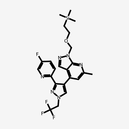 Cc1cc(-c2cn(CC(F)(F)F)nc2-c2ccc(F)cn2)c2cnn(COCC[Si](C)(C)C)c2n1